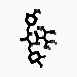 CC(C)[C@H](C(=O)N[C@@H](Cc1ccc(F)c(F)c1)C(=O)NCc1ccc(N)nc1)N(C)C